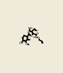 C=CCONC(=O)c1nc(-c2ccc(Cl)c(OC)c2F)nc(N)c1C=C